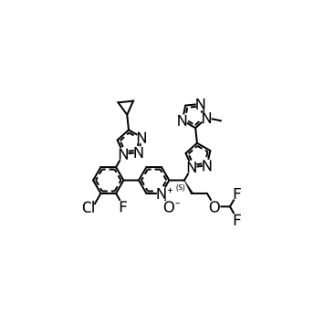 Cn1ncnc1-c1cnn([C@@H](CCOC(F)F)c2ccc(-c3c(-n4cc(C5CC5)nn4)ccc(Cl)c3F)c[n+]2[O-])c1